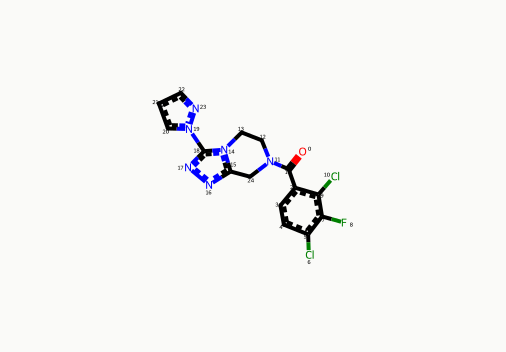 O=C(c1ccc(Cl)c(F)c1Cl)N1CCn2c(nnc2-n2cccn2)C1